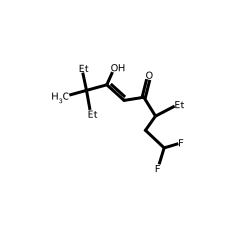 CCC(CC(F)F)C(=O)/C=C(\O)C(C)(CC)CC